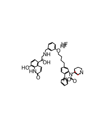 F.F.O=C(O)N(c1cc(CCCCOc2cccc(CNC[C@H](O)c3ccc(O)c4[nH]c(=O)ccc34)c2)ccc1-c1ccccc1)C1CN2CCC1CC2